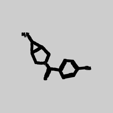 CC(C)(C)c1ccc(C(=O)N2CC3C(N)C3C2)cc1